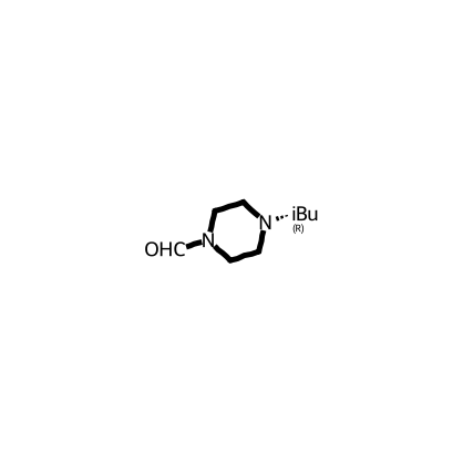 CC[C@@H](C)N1CCN(C=O)CC1